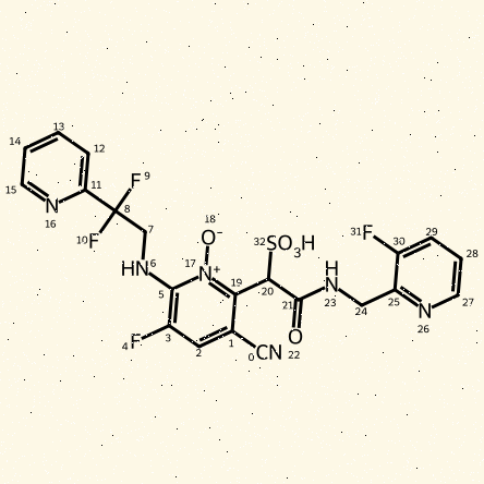 N#Cc1cc(F)c(NCC(F)(F)c2ccccn2)[n+]([O-])c1C(C(=O)NCc1ncccc1F)S(=O)(=O)O